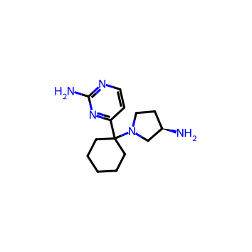 Nc1nccc(C2(N3CC[C@@H](N)C3)CCCCC2)n1